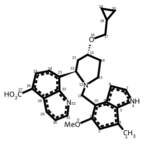 COc1cc(C)c2[nH]ccc2c1CN1CC[C@@H](OCC2CC2)C[C@@H]1c1ccc(C(=O)O)c2cccnc12